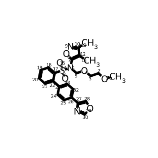 COCCOCN(c1onc(C)c1C)S(=O)(=O)c1ccccc1-c1ccc(-c2cocn2)cc1